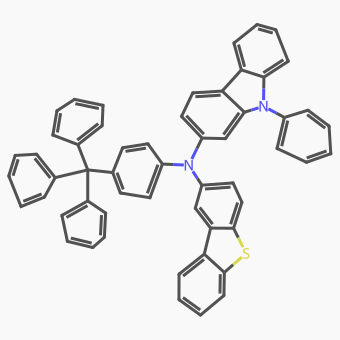 c1ccc(-n2c3ccccc3c3ccc(N(c4ccc(C(c5ccccc5)(c5ccccc5)c5ccccc5)cc4)c4ccc5sc6ccccc6c5c4)cc32)cc1